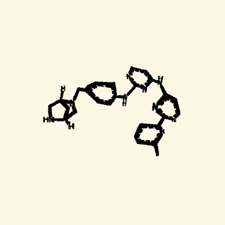 Cc1cccc(-c2nccc(Nc3ccnc(Nc4ccc(CN5C[C@H]6C[C@@H]5CN6)cc4)n3)n2)n1